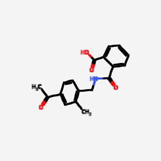 CC(=O)c1ccc(CNC(=O)c2ccccc2C(=O)O)c(C)c1